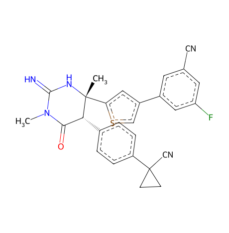 CN1C(=N)N[C@](C)(c2cc(-c3cc(F)cc(C#N)c3)cs2)[C@H](c2ccc(C3(C#N)CC3)cc2)C1=O